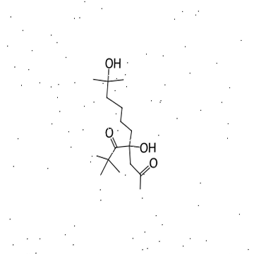 CC(=O)CC(O)(CCCCC(C)(C)O)C(=O)C(C)(C)C